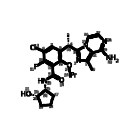 Cc1nc([C@@H](C)c2cc(Cl)c(F)c(C(=O)N[C@@H]3CCC[C@@H]3O)c2OC(C)C)n2ccnc(N)c12